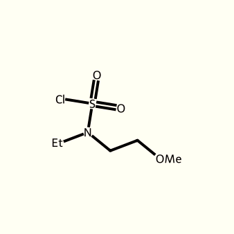 CCN(CCOC)S(=O)(=O)Cl